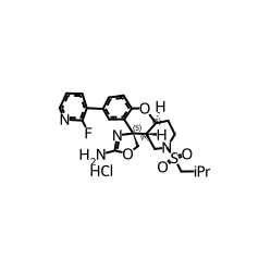 CC(C)CS(=O)(=O)N1CC[C@@H]2Oc3ccc(-c4cccnc4F)cc3[C@]3(COC(N)=N3)[C@H]2C1.Cl